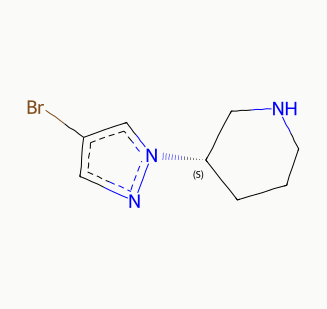 Brc1cnn([C@H]2CCCNC2)c1